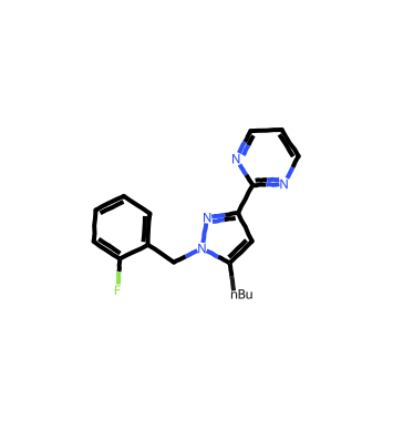 CCCCc1cc(-c2ncccn2)nn1Cc1ccccc1F